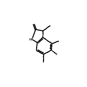 C=C1Nc2cc(C)c(F)c(C)c2C1C